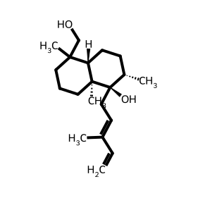 C=C/C(C)=C/C[C@@]1(O)[C@@H](C)CC[C@H]2C(C)(CO)CCC[C@@]21C